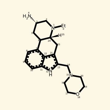 CCN1C[C@@H](N)CC2c3cccc4[nH]c(CN5CCOCC5)c(c34)C[C@H]21